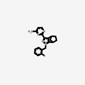 Nc1ccnc(-c2nn(Cc3ccccc3F)c3c2C2CCC3C2)n1